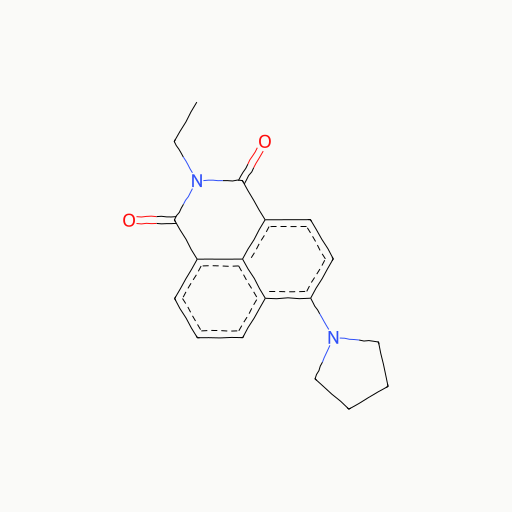 CCN1C(=O)c2cccc3c(N4CCCC4)ccc(c23)C1=O